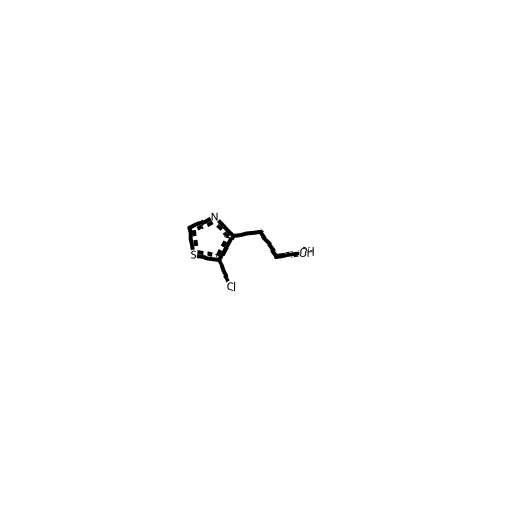 OCCc1ncsc1Cl